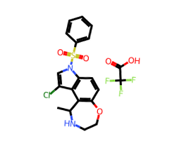 CC1NCCOc2ccc3c(c(Cl)cn3S(=O)(=O)c3ccccc3)c21.O=C(O)C(F)(F)F